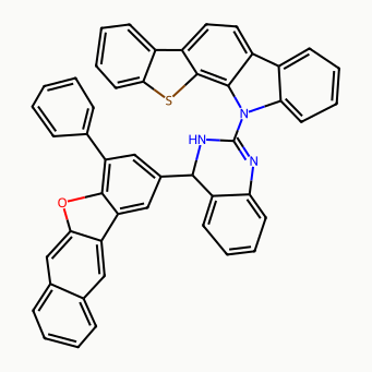 c1ccc(-c2cc(C3NC(n4c5ccccc5c5ccc6c7ccccc7sc6c54)=Nc4ccccc43)cc3c2oc2cc4ccccc4cc23)cc1